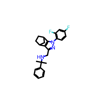 CC(C)(NCc1nn(-c2ccc(F)cc2F)c2c1C1CCC2C1)c1ccccc1